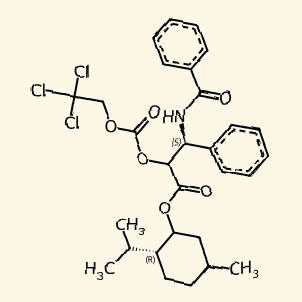 CC1CC[C@H](C(C)C)C(OC(=O)C(OC(=O)OCC(Cl)(Cl)Cl)[C@@H](NC(=O)c2ccccc2)c2ccccc2)C1